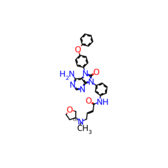 CN(CC=CC(=O)Nc1cccc(-n2c(=O)n(-c3ccc(Oc4ccccc4)cc3)c3c(N)ncnc32)c1)[C@H]1CCOC1